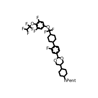 CCCCCC1CCC(C2COC(c3ccc(C4CCC(C(F)(F)Oc5cc(F)c(OC(F)(F)C(F)F)c(F)c5)CC4)c(F)c3)OC2)CC1